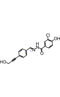 O=C(N/N=C/c1ccc(C#CCO)cc1)c1ccc(O)c(Cl)c1